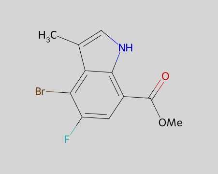 COC(=O)c1cc(F)c(Br)c2c(C)c[nH]c12